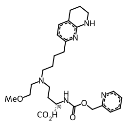 COCCN(CCCCc1ccc2c(n1)NCCC2)CC[C@H](NC(=O)OCc1ccccn1)C(=O)O